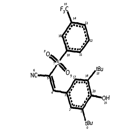 CC(C)(C)c1cc(C=C(C#N)S(=O)(=O)c2cccc(C(F)(F)F)c2)cc(C(C)(C)C)c1O